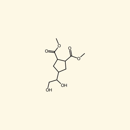 COC(=O)C1CC(C(O)CO)CC1C(=O)OC